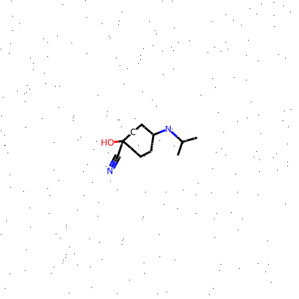 CC(C)[N]C1CCC(O)(C#N)CC1